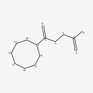 CC(=O)CCC(=O)C1CCCCCCC1